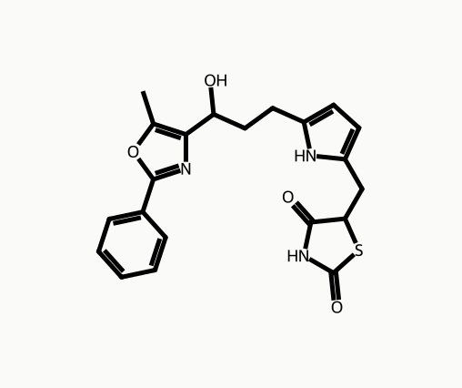 Cc1oc(-c2ccccc2)nc1C(O)CCc1ccc(CC2SC(=O)NC2=O)[nH]1